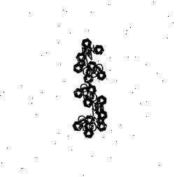 c1ccc(-n2c3ccccc3n3c4ccc5c6ccccc6n(-c6ccc7c8c6Oc6ccc(-c9ccc%10c%11c9Oc9ccccc9B%11c9cccc(-n%11c%12ccccc%12n%12c%13ccc%14c%15ccccc%15n(-c%15ccc%16c%17c%15Oc%15ccccc%15B%17c%15ccccc%15O%16)c%14c%13nc%11%12)c9O%10)cc6B8c6ccccc6O7)c5c4nc23)cc1